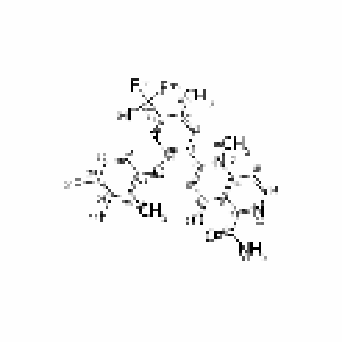 Cc1cc(-c2cc(=O)c3c(C(N)=O)nccc3n2C)c(Oc2ccc(F)c(F)c2C)nc1C(F)(F)F